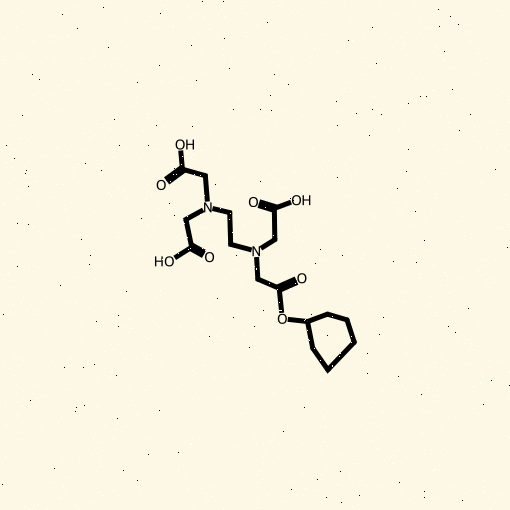 O=C(O)CN(CCN(CC(=O)O)CC(=O)OC1CCCCC1)CC(=O)O